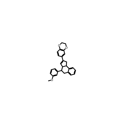 COc1cccc(C2Cc3ccccc3C3CC(c4ccc5c(c4)OCCO5)=CC23)c1